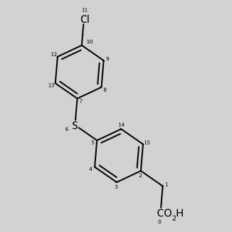 O=C(O)Cc1ccc(Sc2ccc(Cl)cc2)cc1